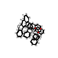 c1ccc(-c2nc3ccc4ccc5ccc(N(c6ccccc6[Si](c6ccccc6)(c6ccccc6)c6ccccc6)c6c7ccccc7cc7oc8ccccc8c67)cc5c4c3o2)cc1